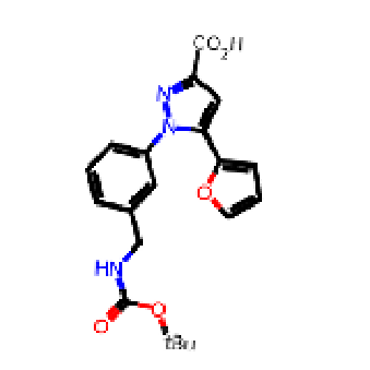 CC(C)(C)OC(=O)NCc1cccc(-n2nc(C(=O)O)cc2-c2ccco2)c1